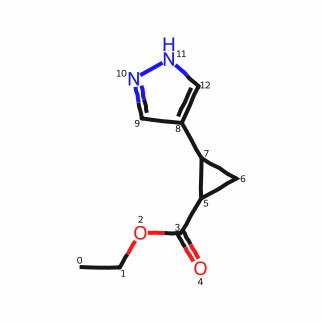 CCOC(=O)C1CC1c1cn[nH]c1